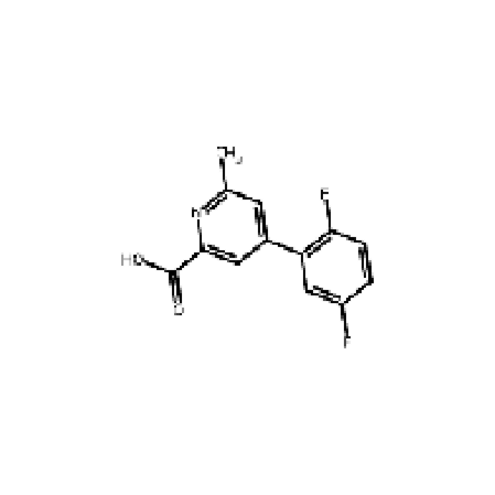 Cc1cc(-c2cc(F)ccc2F)cc(C(=O)O)n1